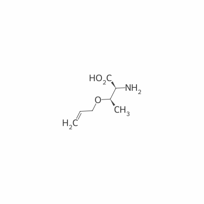 C=CCO[C@H](C)[C@H](N)C(=O)O